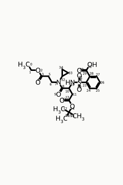 CCOC(=O)CCN(C(=O)C(CC(=O)OC(C)(C)C)NS(=O)(=O)c1ccccc1C(=O)O)C1CC1